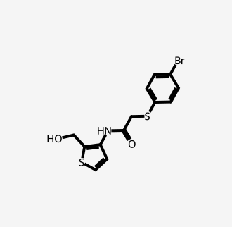 O=C(CSc1ccc(Br)cc1)Nc1ccsc1CO